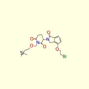 C[Si](C)(C)CCOCN1C(=O)CCC(N2Cc3c(OCCBr)cccc3C2=O)C1=O